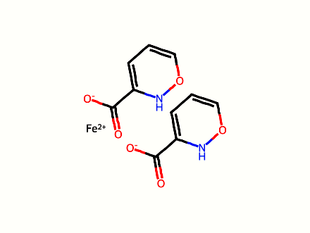 O=C([O-])C1=CC=CON1.O=C([O-])C1=CC=CON1.[Fe+2]